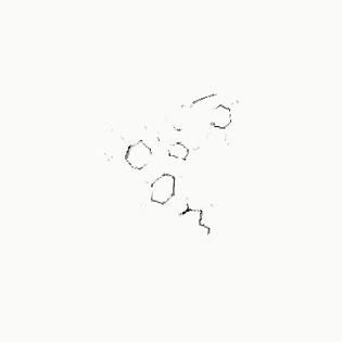 NCC[C@H](O)C(=O)N[C@@H]1C[C@H](N)[C@@H](O[C@H]2O[C@H](CN)[C@@H](O)[C@H](O)[C@H]2N)[C@H](O[C@@H]2O[C@H](CO)[C@@H](O[C@H]3O[C@@H](CN)[C@@H](O)[C@H](O)[C@H]3N)[C@H]2O)[C@H]1O